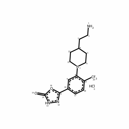 Cl.NCCC1CCN(c2cc(-c3n[nH]c(=O)o3)ccc2C(F)(F)F)CC1